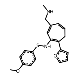 CNCC1=CC(NSc2ccc(OC)cc2)=C(c2ccco2)CC=C1